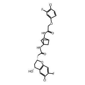 O=C(COc1ccc(Cl)c(F)c1)NC1CC2(NC(=O)C[C@H]3C[C@@H](O)c4cc(Cl)c(F)cc4O3)CC1C2